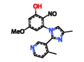 COc1cc(O)c(N=O)c(-n2cc(C)nc2-c2cnccc2C)c1